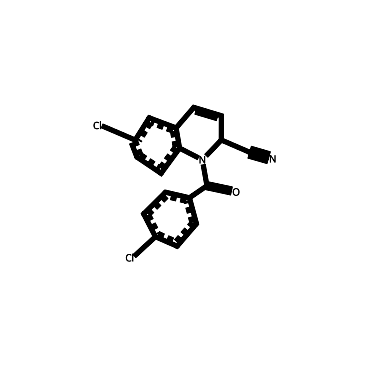 N#CC1C=Cc2cc(Cl)ccc2N1C(=O)c1ccc(Cl)cc1